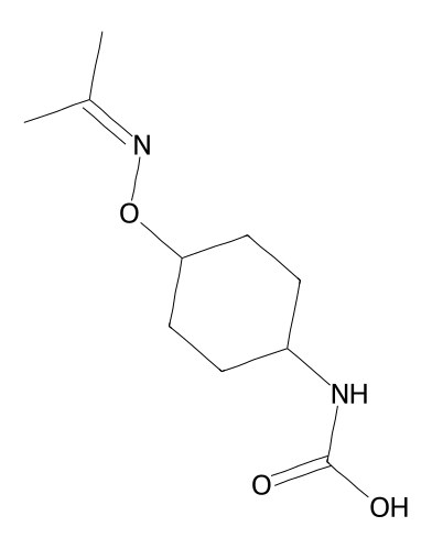 CC(C)=NOC1CCC(NC(=O)O)CC1